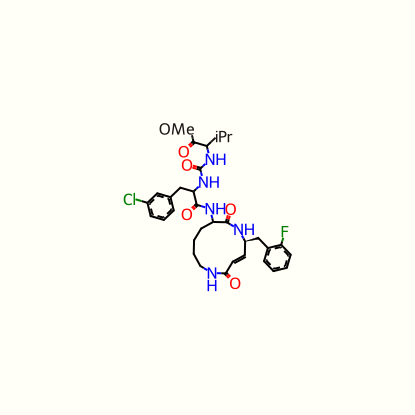 COC(=O)C(NC(=O)NC(Cc1cccc(Cl)c1)C(=O)NC1CCCCNC(=O)/C=C/[C@H](Cc2ccccc2F)NC1=O)C(C)C